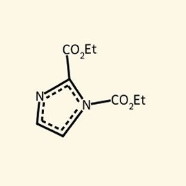 CCOC(=O)c1nccn1C(=O)OCC